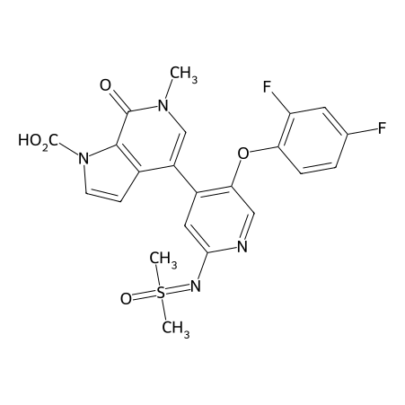 Cn1cc(-c2cc(N=S(C)(C)=O)ncc2Oc2ccc(F)cc2F)c2ccn(C(=O)O)c2c1=O